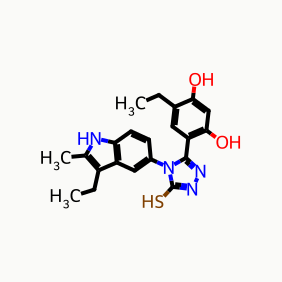 CCc1cc(-c2nnc(S)n2-c2ccc3[nH]c(C)c(CC)c3c2)c(O)cc1O